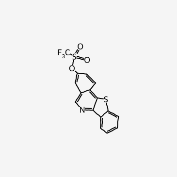 O=S(=O)(Oc1ccc2c(cnc3c4ccccc4sc23)c1)C(F)(F)F